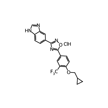 Cl.FC(F)(F)c1cc(-c2nc(-c3ccc4[nH]cnc4c3)no2)ccc1OCC1CC1